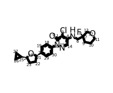 O=c1c(Cl)c(NC[C@@]2(F)CCCOC2)cnn1-c1ccc([C@H]2CC[C@@H](C3CC3)O2)cc1